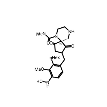 CCCCCCc1c(CC2CC(=O)[C@]3(CNCCN3C(=O)NC)C2=O)ccc(NO)c1OC